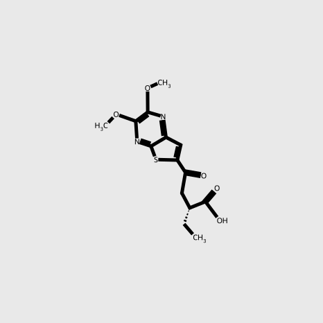 CC[C@H](CC(=O)c1cc2nc(OC)c(OC)nc2s1)C(=O)O